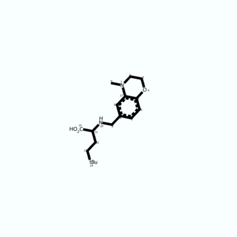 CN1CCOc2ccc(CNC(CCC(C)(C)C)C(=O)O)cc21